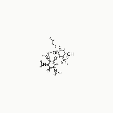 CCCC.Cc1cc(O)c(C(C)(C)C)cc1O.O=C1C=C(N2CC2)C(=O)C(N2CC2)=C1N1CC1